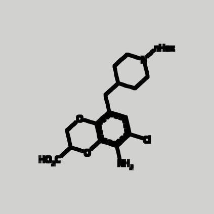 CCCCCCN1CCC(Cc2cc(Cl)c(N)c3c2OCC(C(=O)O)O3)CC1